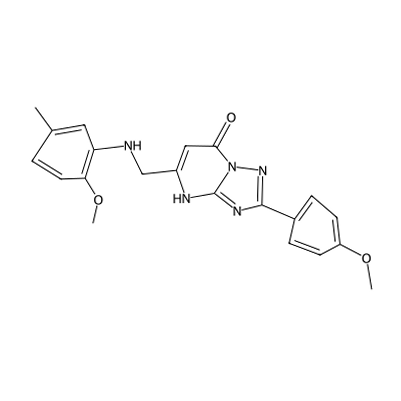 COc1ccc(-c2nc3[nH]c(CNc4cc(C)ccc4OC)cc(=O)n3n2)cc1